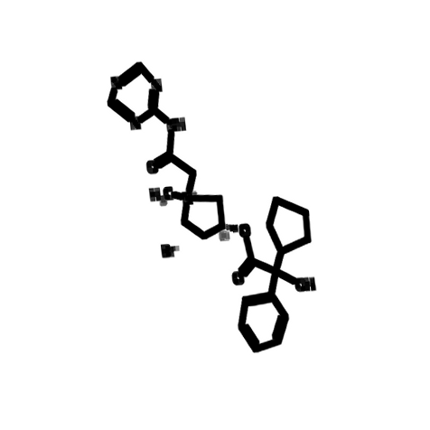 C[N+]1(CC(=O)Nc2ncncn2)CC[C@@H](OC(=O)C(O)(c2ccccc2)C2CCCC2)C1.[Br-]